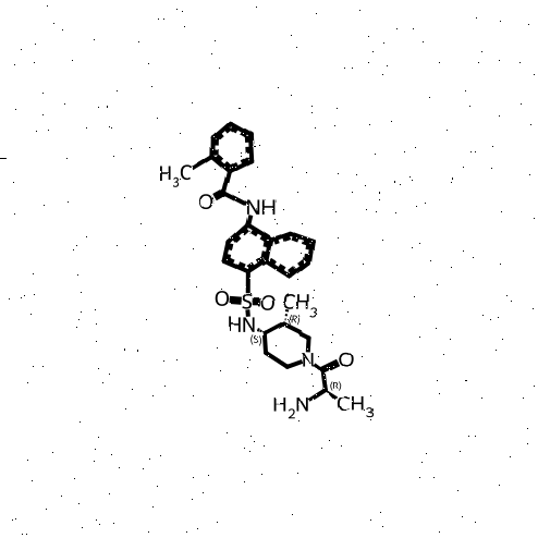 Cc1ccccc1C(=O)Nc1ccc(S(=O)(=O)N[C@H]2CCN(C(=O)[C@@H](C)N)C[C@H]2C)c2ccccc12